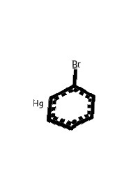 Brc1ccccc1.[Hg]